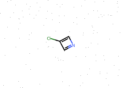 ClC1=CN=[C]1